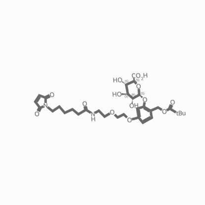 CC(C)(C)C(=O)OCc1ccc(OCCOCCNC(=O)CCCCCN2C(=O)C=CC2=O)cc1O[C@@H]1O[C@H](C(=O)O)[C@@H](O)[C@H](O)[C@H]1O